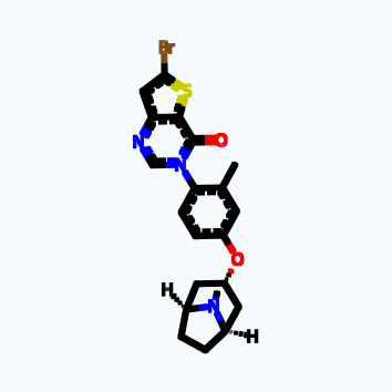 Cc1cc(O[C@@H]2C[C@H]3CC[C@@H](C2)N3C)ccc1-n1cnc2cc(Br)sc2c1=O